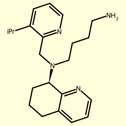 CC(C)c1cccnc1CN(CCCCN)[C@@H]1CCCc2cccnc21